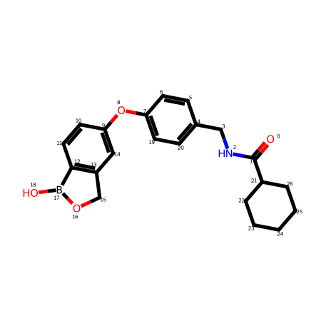 O=C(NCc1ccc(Oc2ccc3c(c2)COB3O)cc1)C1CCCCC1